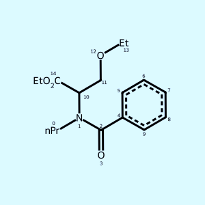 CCCN(C(=O)c1ccccc1)C(COCC)C(=O)OCC